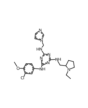 CCN1CCCC1CNc1nc(NCn2ccnc2)nc(Nc2ccc(OC)c(Cl)c2)n1